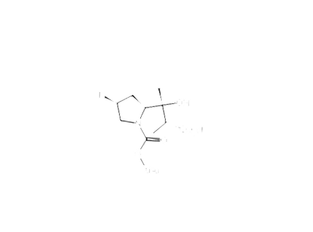 C[C@@H](C(=O)O)[C@@](C)(O)[C@@H]1C[C@H](F)CN1C(=O)OC(C)(C)C